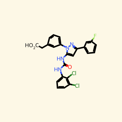 O=C(O)Cc1cccc(-n2nc(-c3cccc(F)c3)cc2NC(=O)Nc2cccc(Cl)c2Cl)c1